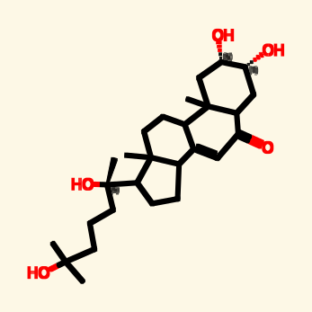 CC(C)(O)CCC[C@](C)(O)C1CCC2C3=CC(=O)C4C[C@@H](O)[C@@H](O)CC4(C)C3CCC21C